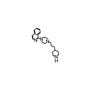 c1ccc2c(N3CCN(CCCC4CCNCC4)CC3)nccc2c1